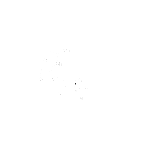 CC[C@@]1(N[S+]([O-])C(C)(C)C)COc2c1cc([C@](O)(CN)C(F)(F)F)nc2Cl